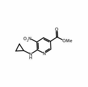 COC(=O)c1cnc(NC2CC2)c([N+](=O)[O-])c1